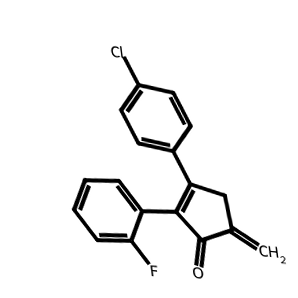 C=C1CC(c2ccc(Cl)cc2)=C(c2ccccc2F)C1=O